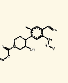 Cc1cc(C=N)c(NPI)cc1C1CCN(C(=O)OC(C)(C)C)CC1O